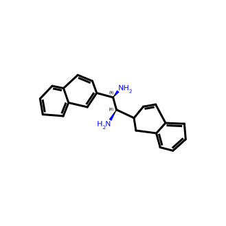 N[C@H](c1ccc2ccccc2c1)[C@H](N)C1C=Cc2ccccc2C1